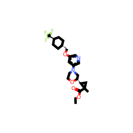 CCOC(=O)C1(C)CC1[C@H]1CN(c2cncc(OC[C@H]3CC[C@H](C(F)(F)F)CC3)c2)CCO1